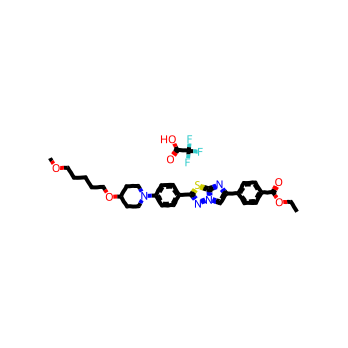 CCOC(=O)c1ccc(-c2cn3nc(-c4ccc(N5CCC(OCCCCCOC)CC5)cc4)sc3n2)cc1.O=C(O)C(F)(F)F